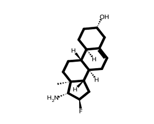 C[C@]12CC[C@H]3[C@@H](CC=C4C[C@@H](O)CC[C@@H]43)[C@@H]1C[C@@H](F)[C@@H]2N